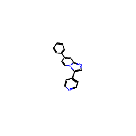 c1ccc(-c2ccn3c(-c4ccncc4)cnc3c2)cc1